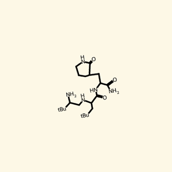 CC(C)(C)CC(NCC(N)C(C)(C)C)C(=O)NC(CC1CCCNC1=O)C(N)=O